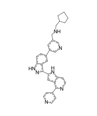 c1cc(-c2nccc3[nH]c(-c4n[nH]c5ccc(-c6cncc(CNCC7CCCC7)c6)cc45)cc23)ccn1